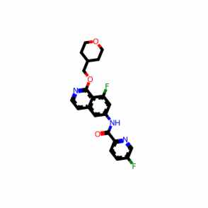 O=C(Nc1cc(F)c2c(OCC3CCOCC3)nccc2c1)c1ccc(F)cn1